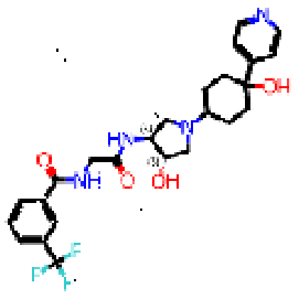 O=C(CNC(=O)c1cccc(C(F)(F)F)c1)N[C@H]1CN(C2CCC(O)(c3ccncc3)CC2)C[C@@H]1O